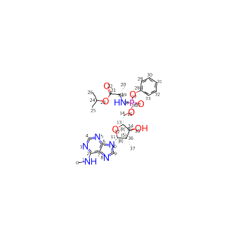 CNc1ncnc2c1ncn2[C@@H]1O[C@H](COP(=O)(N[C@@H](C)C(=O)OC(C)C)Oc2ccccc2)[C@@H](O)[C@@H]1C